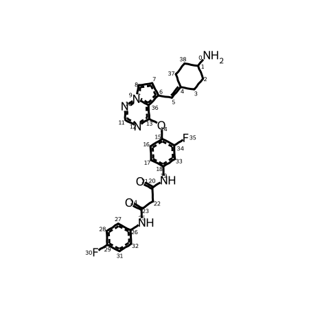 NC1CCC(=Cc2ccn3ncnc(Oc4ccc(NC(=O)CC(=O)Nc5ccc(F)cc5)cc4F)c23)CC1